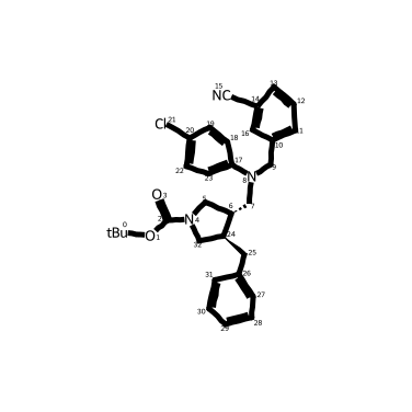 CC(C)(C)OC(=O)N1C[C@H](CN(Cc2cccc(C#N)c2)c2ccc(Cl)cc2)[C@@H](Cc2ccccc2)C1